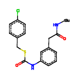 CC(C)(C)NC(=O)Cc1cccc(NC(=O)SCc2ccc(Cl)cc2)c1